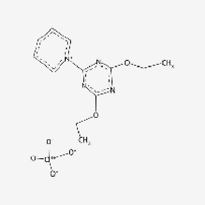 CCOc1nc(OCC)nc(-[n+]2ccccc2)n1.[O-][Cl+3]([O-])([O-])[O-]